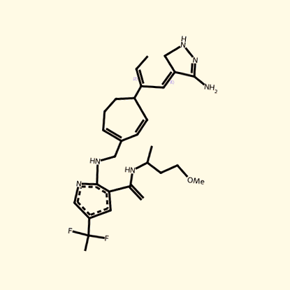 C=C(NC(C)CCOC)c1cc(C(C)(F)F)cnc1NCC1=CCCC(C(=C/C)/C=C2\CNN=C2N)C=C1